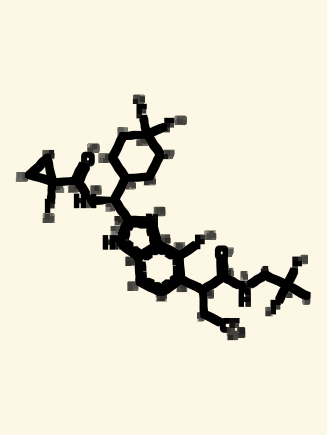 CC(F)(F)CNC(=O)C(CC(F)(F)F)c1ccc2[nH]c([C@@H](NC(=O)C3(F)CC3)C3CCC(F)(F)CC3)nc2c1F